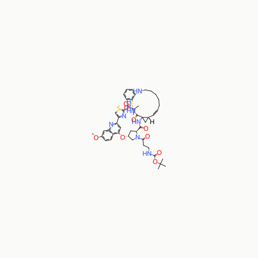 COc1ccc2c(O[C@@H]3C[C@@H](C(=O)N[C@]45C[C@H]4/C=C\CCCCCNc4ccccc4S(=O)(=O)NC5=O)N(C(=O)CCNC(=O)OC(C)(C)C)C3)cc(-c3csc(NC(C)C)n3)nc2c1